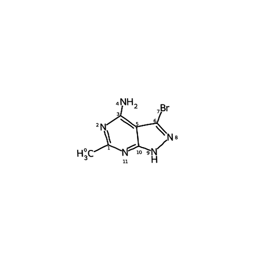 Cc1nc(N)c2c(Br)n[nH]c2n1